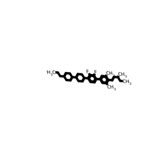 CCCC1CCC(C2CCC(c3ccc(-c4cc(C)c(CCC(C)CC)c(C)c4)c(F)c3F)CC2)CC1